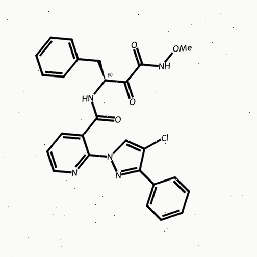 CONC(=O)C(=O)[C@H](Cc1ccccc1)NC(=O)c1cccnc1-n1cc(Cl)c(-c2ccccc2)n1